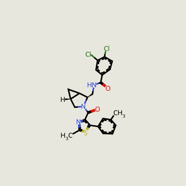 Cc1cccc(-c2sc(C)nc2C(=O)N2C[C@@H]3CC3[C@H]2CNC(=O)c2ccc(Cl)c(Cl)c2)c1